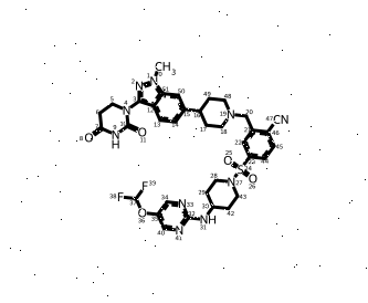 Cn1nc(N2CCC(=O)NC2=O)c2ccc(C3CCN(Cc4cc(S(=O)(=O)N5CCC(Nc6ncc(OC(F)F)cn6)CC5)ccc4C#N)CC3)cc21